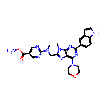 CN(Cc1nc2c(N3CCOCC3)nc(-c3ccc4[nH]ccc4c3)nc2n1C)c1ncc(C(=O)ON)cn1